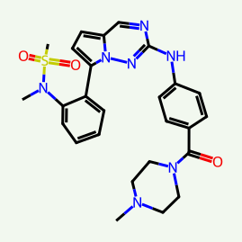 CN1CCN(C(=O)c2ccc(Nc3ncc4ccc(-c5ccccc5N(C)S(C)(=O)=O)n4n3)cc2)CC1